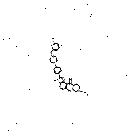 Cc1cccc(CN2CCN(c3ccc(-c4nc5c(NC6CCN(C)CC6)c(Br)cnc5[nH]4)cc3)CC2)n1